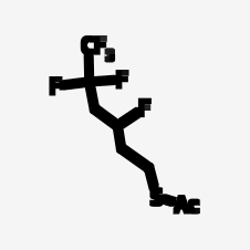 CC(=O)SCCC(F)CC(F)(F)C(F)(F)F